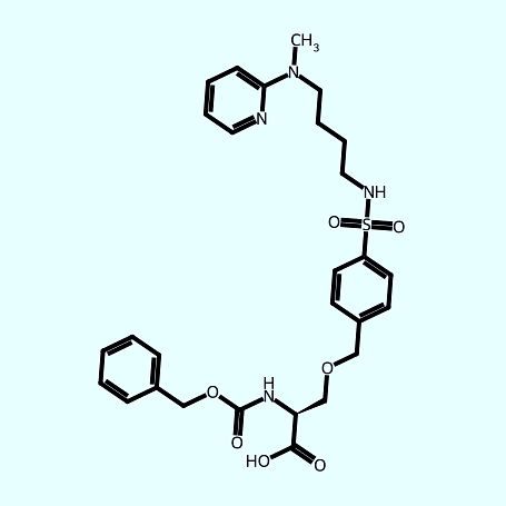 CN(CCCCNS(=O)(=O)c1ccc(COC[C@H](NC(=O)OCc2ccccc2)C(=O)O)cc1)c1ccccn1